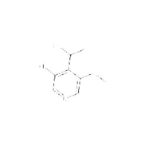 COc1cncc(Cl)c1C(C)S